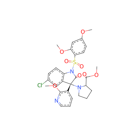 COC(=O)C1CCCN1[C@@]1(c2cccnc2OC)C(=O)N(S(=O)(=O)c2ccc(OC)cc2OC)c2ccc(Cl)cc21